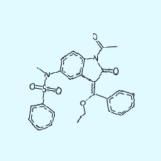 CCO/C(=C1/C(=O)N(C(C)=O)c2ccc(N(C)S(=O)(=O)c3ccccc3)cc21)c1ccccc1